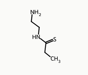 CCC(=S)NCCN